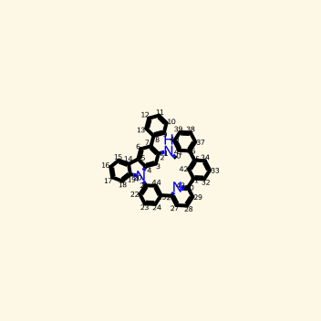 CNc1cc2c(cc1-c1ccccc1)c1ccccc1n2-c1cccc(-c2cccc(-c3cccc(-c4ccccc4)c3)n2)c1